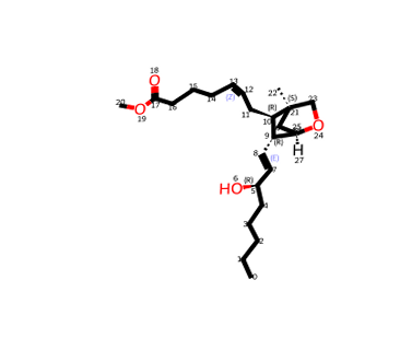 CCCCC[C@@H](O)/C=C/[C@@H]1[C@@H](C/C=C\CCCC(=O)OC)[C@@]2(C)CO[C@@H]1C2